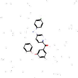 CN(c1ccc(Cl)cc1)c1ccc(C(=O)c2cc(Oc3ccccc3)cc(C(=O)O)c2)nc1